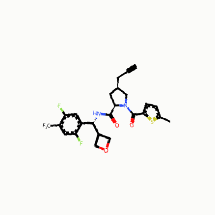 C#CC[C@@H]1C[C@H](C(=O)N[C@@H](c2cc(F)c(C(F)(F)F)cc2F)C2COC2)N(C(=O)c2ccc(C)s2)C1